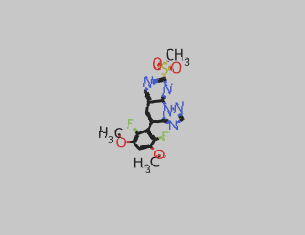 COc1cc(OC)c(F)c(-c2cc3cnc(S(C)(=O)=O)nc3n3ncnc23)c1F